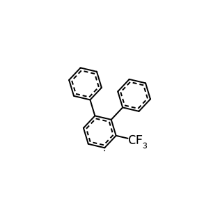 FC(F)(F)c1[c]ccc(-c2ccccc2)c1-c1ccccc1